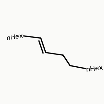 [CH2]CCCCC/C=C/CCCCCCCC